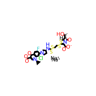 C[C@@H](O)[C@@H]1C(=O)N2C(C(=O)[O-])=C(SCCSC(=S)NC3CCN(c4c(F)cc5c(=O)c(C(=O)[O-])cn(C6CC6)c5c4Cl)C3)S[C@H]12.[Na+].[Na+]